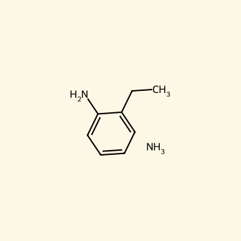 CCc1ccccc1N.N